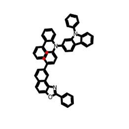 c1ccc(-c2nc3c(ccc4ccc(-c5ccc(N(c6ccc7c8ccccc8n(-c8ccccc8)c7c6)c6ccccc6-c6ccccc6)cc5)cc43)o2)cc1